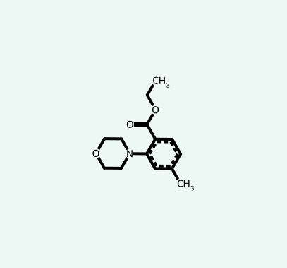 CCOC(=O)c1ccc(C)cc1N1CCOCC1